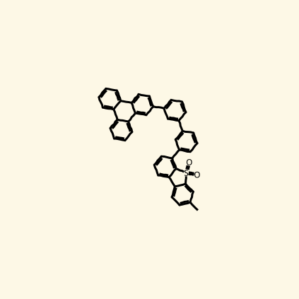 Cc1ccc2c(c1)S(=O)(=O)c1c(-c3cccc(-c4cccc(-c5ccc6c7ccccc7c7ccccc7c6c5)c4)c3)cccc1-2